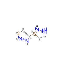 c1snnc1S1=NNCC1